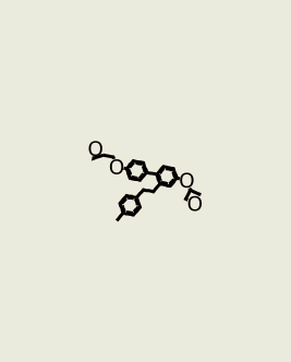 Cc1ccc(CCc2cc(OC3COC3)ccc2-c2ccc(OCC3CO3)cc2)cc1